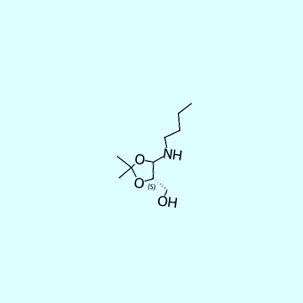 CCCCNC1OC(C)(C)O[C@H]1CO